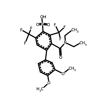 CCN(CC)C(=O)c1c(-c2ccc(OC)c(OC)c2)cc(C(F)(F)F)c(S(=O)(=O)O)c1C(F)(F)F